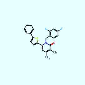 N#Cc1c(C(F)(F)F)cc(-c2ccc(-c3cc[c]cc3)s2)n(Cc2ccc(F)cc2F)c1=O